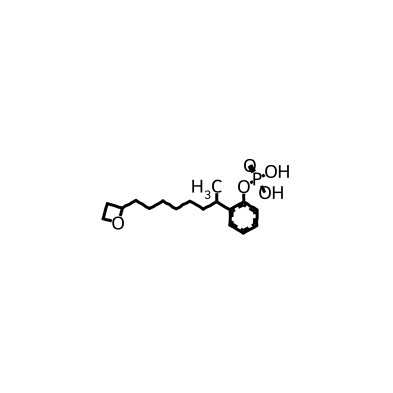 CC(CCCCCCC1CCO1)c1ccccc1OP(=O)(O)O